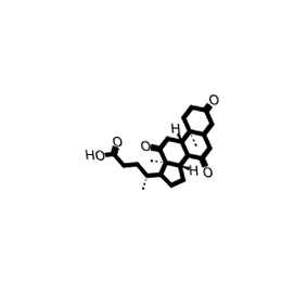 C[C@H](CCC(=O)O)C1CC[C@H]2C3C(=O)CC4CC(=O)CC[C@]4(C)[C@H]3CC(=O)[C@]12C